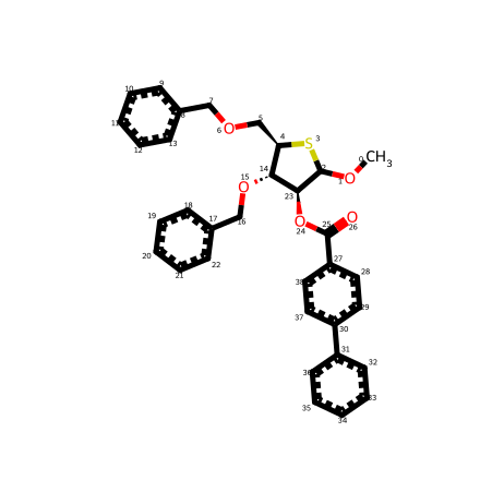 COC1S[C@H](COCc2ccccc2)[C@@H](OCc2ccccc2)[C@@H]1OC(=O)c1ccc(-c2ccccc2)cc1